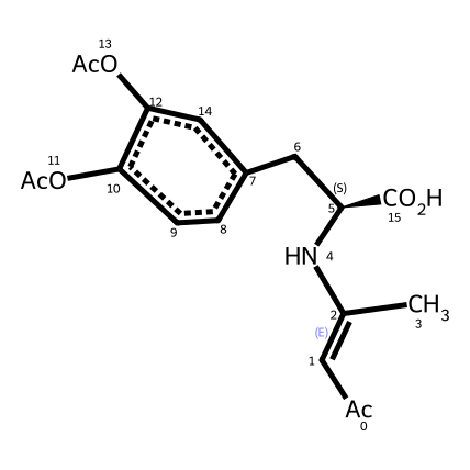 CC(=O)/C=C(\C)N[C@@H](Cc1ccc(OC(C)=O)c(OC(C)=O)c1)C(=O)O